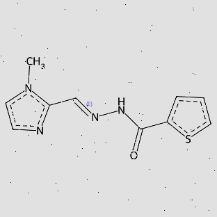 Cn1ccnc1/C=N/NC(=O)c1cccs1